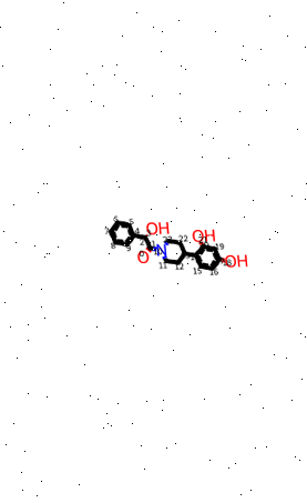 O=C([C@@H](O)c1ccccc1)N1CCC(c2ccc(O)cc2O)CC1